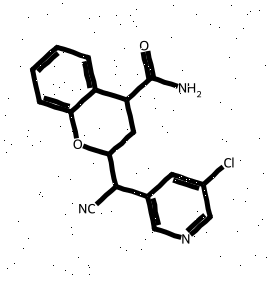 N#CC(c1cncc(Cl)c1)C1CC(C(N)=O)c2ccccc2O1